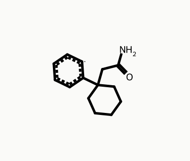 NC(=O)CC1(c2[c]cccc2)CCCCC1